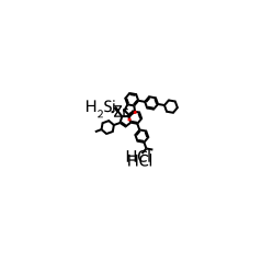 CC1=Cc2c(-c3ccc(C4CCCCC4)cc3)cccc2[CH]1[Zr]([CH3])([CH3])(=[SiH2])[CH]1C(C2CCC(C)CC2)=Cc2c(-c3ccc(C(C)C)cc3)cccc21.Cl.Cl